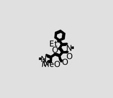 CCC1(c2cn(C)c(=O)c3c(C(=O)OC)c(-c4cnn(C)c4)oc23)C=CC=CC1